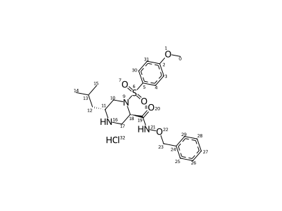 COc1ccc(S(=O)(=O)N2C[C@@H](CC(C)C)NC[C@@H]2C(=O)NOCc2ccccc2)cc1.Cl